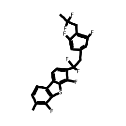 Cc1ccc2c(sc3c(F)c(C(F)(F)Cc4cc(F)c(CC(C)(F)F)c(F)c4)ccc32)c1F